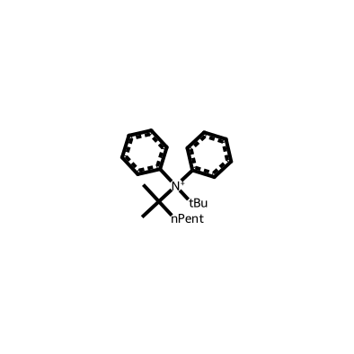 CCCCCC(C)(C)[N+](c1ccccc1)(c1ccccc1)C(C)(C)C